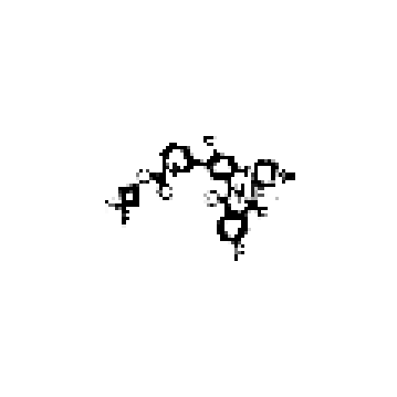 C[C@@H]1CN(c2cc(F)c(C3=CCCN(C(=O)OC4CC(F)(F)C4)C3)cc2NC(=O)c2ccc(F)cc2C(F)(F)F)CCN1C